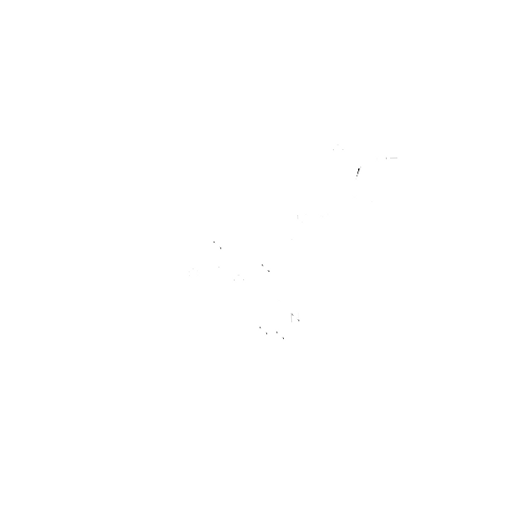 Cc1cccc(CN(C)C(=O)OCc2c(-c3ccc(O[C@H]4CCC[C@H](C(=O)O)C4)cn3)nnn2C)c1